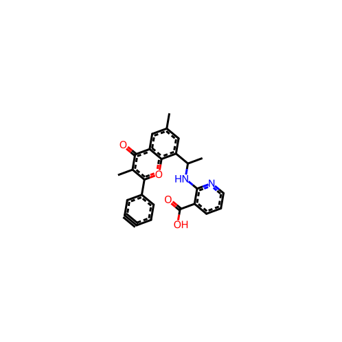 Cc1cc(C(C)Nc2ncccc2C(=O)O)c2oc(-c3cc#ccc3)c(C)c(=O)c2c1